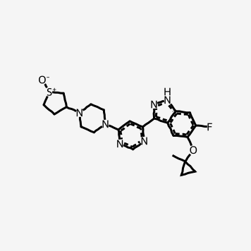 CC1(Oc2cc3c(-c4cc(N5CCN(C6CC[S+]([O-])C6)CC5)ncn4)n[nH]c3cc2F)CC1